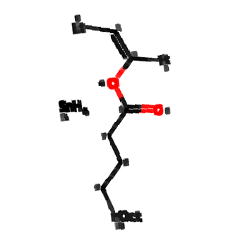 CCC=C(CC)OC(=O)CCCCCCCCCCC.[SnH4]